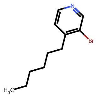 CCCCCCc1ccncc1Br